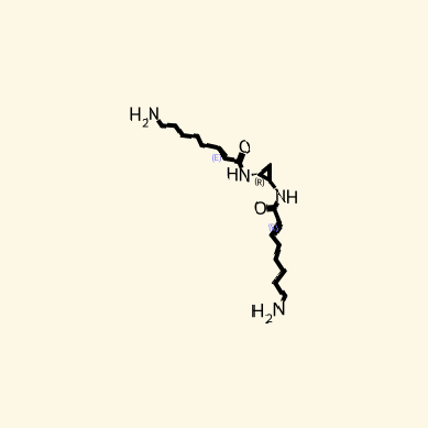 NCCCCC/C=C/C(=O)NC1C[C@H]1NC(=O)/C=C/CCCCCN